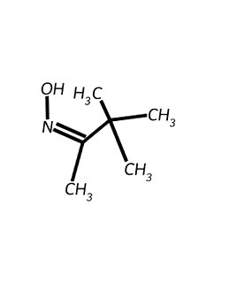 C/C(=N/O)C(C)(C)C